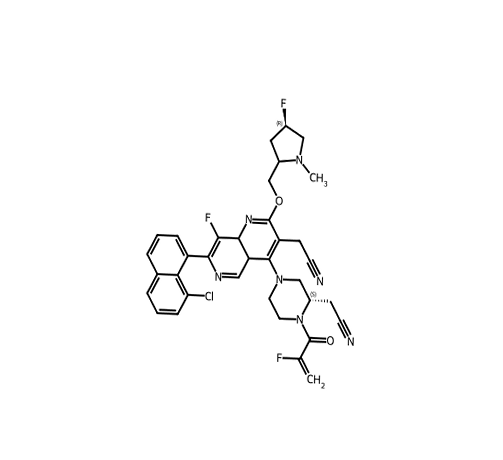 C=C(F)C(=O)N1CCN(C2=C(CC#N)C(OCC3C[C@@H](F)CN3C)=NC3C(F)=C(c4cccc5cccc(Cl)c45)N=CC23)C[C@@H]1CC#N